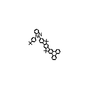 CC(C)(C)c1ccc(-n2c(-c3ccc4c(c3)C(C)(C)c3cc5c(cc3-4)C(C)(C)c3cc4c6ccccc6c6ccccc6c4cc3-5)nc3ccccc32)cc1